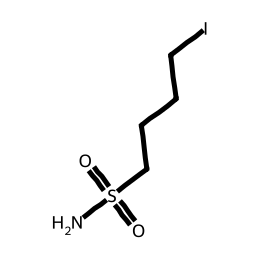 NS(=O)(=O)CCCCI